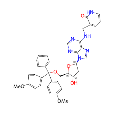 COc1ccc(C(OC[C@H]2O[C@@H](n3cnc4c(NCc5ccc[nH]c5=O)ncnc43)C[C@@H]2O)(c2ccccc2)c2ccc(OC)cc2)cc1